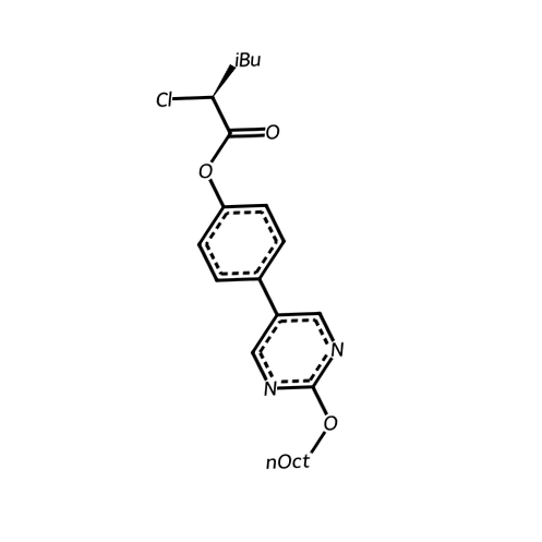 CCCCCCCCOc1ncc(-c2ccc(OC(=O)[C@@H](Cl)C(C)CC)cc2)cn1